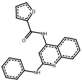 O=C(Nc1cc(Nc2ccccc2)nc2ccccc12)c1ccco1